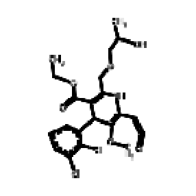 CCOC(=O)C1=C(COCC(C)O)NC(C=C=O)=C(OC)C1c1cccc(Cl)c1Cl